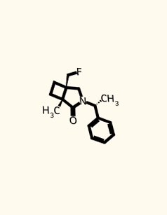 C[C@H](c1ccccc1)N1C[C@@]2(CF)CC[C@@]2(C)C1=O